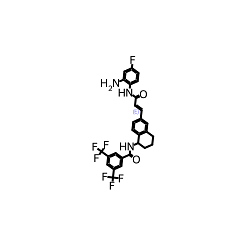 Nc1cc(F)ccc1NC(=O)/C=C/c1ccc2c(c1)CCCC2NC(=O)c1cc(C(F)(F)F)cc(C(F)(F)F)c1